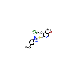 COc1ccc2[nH]c(SCc3ncc(Br)c(OC)c3C)nc2c1.Cl.Cl